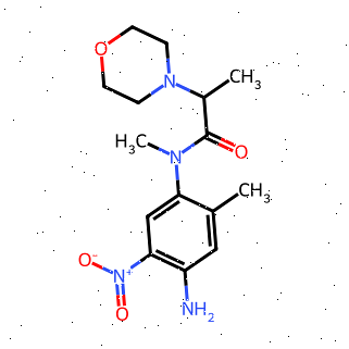 Cc1cc(N)c([N+](=O)[O-])cc1N(C)C(=O)C(C)N1CCOCC1